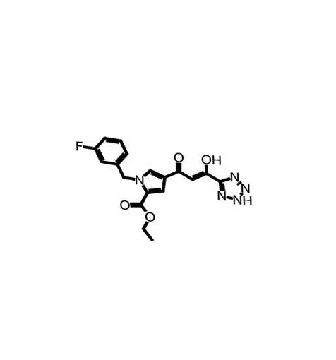 CCOC(=O)c1cc(C(=O)C=C(O)c2nn[nH]n2)cn1Cc1cccc(F)c1